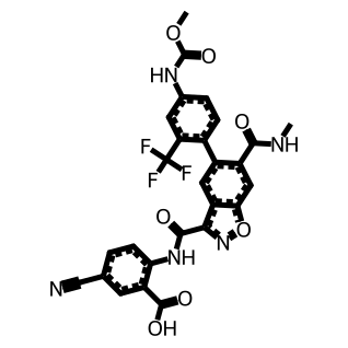 CNC(=O)c1cc2onc(C(=O)Nc3ccc(C#N)cc3C(=O)O)c2cc1-c1ccc(NC(=O)OC)cc1C(F)(F)F